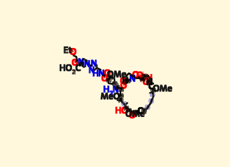 CCOCCC(=O)N1CCN(c2ncc(CNC(=O)O[C@@H]3CC[C@@H](C[C@@H](N)[C@@H]4C[C@@H](OC)[C@H](C)/C=C(\C)[C@@H](O)[C@@H](OC)C(=O)[C@H](C)C[C@H](C)/C=C/C=C/C=C(\C)[C@@H](OC)C[C@@H]5CC[C@@H](C)[C@@](O)(O5)C(=O)C(=O)N5CCCC[C@H]5C(=O)O4)C[C@H]3OC)cn2)C[C@@H]1C(=O)O